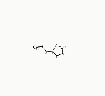 ClCCC1CCOC1